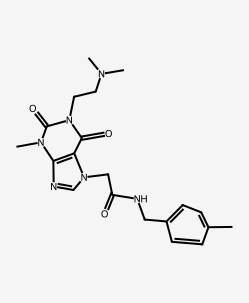 Cc1ccc(CNC(=O)Cn2cnc3c2c(=O)n(CCN(C)C)c(=O)n3C)cc1